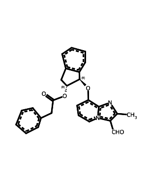 Cc1nc2c(O[C@@H]3c4ccccc4C[C@H]3OC(=O)Cc3ccccc3)cccn2c1C=O